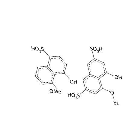 CCOc1cc(S(=O)(=O)O)cc2cc(S(=O)(=O)O)cc(O)c12.COc1cccc2c(S(=O)(=O)O)ccc(O)c12